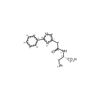 CC(C)C[C@H](NC(=O)Cc1csc(-c2ccccc2)n1)C(=O)O